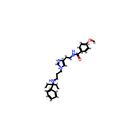 CCC(CC)(NCCCn1cnc(CCNC(=O)c2ccc(OC)cc2)c1)c1ccccc1